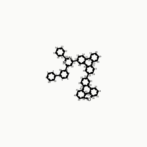 c1ccc(-c2cccc(-c3cc(-c4ccc5c6ccccc6c6ccc(-c7ccc8c(c7)c7cccc9oc%10cccc8c%10c97)cc6c5c4)nc(-c4ccccc4)n3)c2)cc1